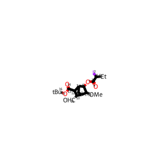 CCC(I)C(=O)OC1C2CC(C(C=O)C2C(=O)OC(C)(C)C)C1OC